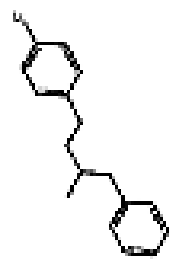 CCc1ccc(CCC(C)Cc2ccccc2)cc1